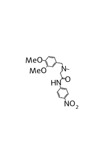 COc1ccc(CN(C)CC(=O)Nc2ccc([N+](=O)[O-])cc2)cc1OC